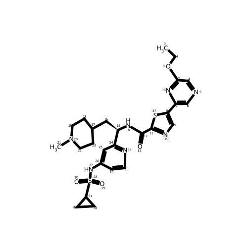 CCOc1cncc(-c2cnc(C(=O)N[C@H](CC3CCN(C)CC3)c3cc(NS(=O)(=O)C4CC4)ccn3)s2)n1